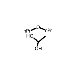 CC(O)O.CCCOCCC